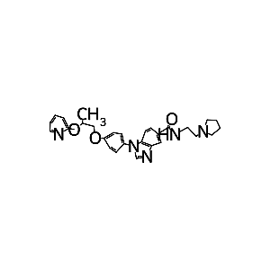 CC(COc1ccc(-n2cnc3cc(C(=O)NCCN4CCCC4)ccc32)cc1)Oc1ccccn1